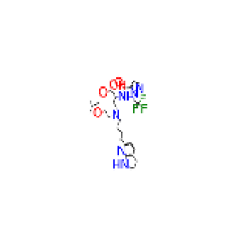 CC(C)(C)OCCN(CCCCc1ccc2c(n1)NCCC2)CCC(NC(=O)c1ccnn1CC(F)(F)F)C(=O)O